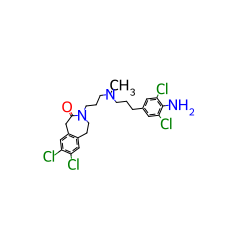 CN(CCCc1cc(Cl)c(N)c(Cl)c1)CCCN1CCc2cc(Cl)c(Cl)cc2CC1=O